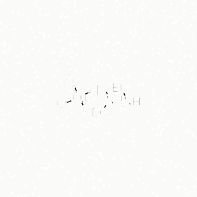 CCNCC.CCNCC.[Cl][Cu]([Cl])([Cl])[Cl]